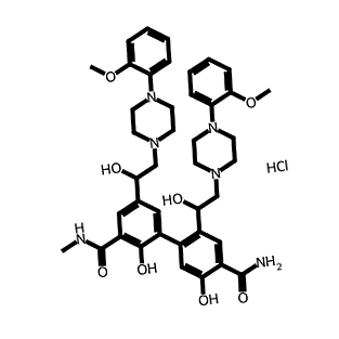 CNC(=O)c1cc(C(O)CN2CCN(c3ccccc3OC)CC2)cc(-c2cc(O)c(C(N)=O)cc2C(O)CN2CCN(c3ccccc3OC)CC2)c1O.Cl